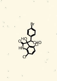 O=CC(c1ccc(Br)cc1)C1(O)C(=O)Nc2c(Cl)ccc(Cl)c21